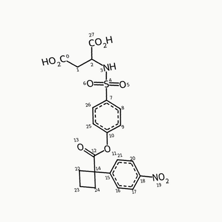 O=C(O)CC(NS(=O)(=O)c1ccc(OC(=O)C2(c3ccc([N+](=O)[O-])cc3)CCC2)cc1)C(=O)O